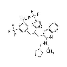 CCN(CC1CCCC1)c1nc2ccccc2cc1CN(Cc1cc(C)cc(C(F)(F)F)c1)c1nc(C(F)(F)F)co1